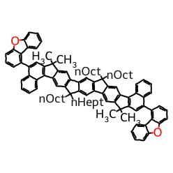 CCCCCCCCC1(CCCCCCC)c2cc3c(cc2-c2cc4c(cc21)-c1cc2c(cc1C4(CCCCCCCC)CCCCCCCC)-c1c(cc(-c4cccc5oc6ccccc6c45)c4ccccc14)C2(C)C)C(C)(C)c1cc(-c2cccc4oc5ccccc5c24)c2ccccc2c1-3